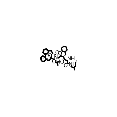 CC(C)CNC(=O)C(N)[C@@H](O)[C@H](CC1CCCCC1)C(=O)[C@H](CC(C)C)N(C(=O)C(N)Cc1ccccc1)C(=O)[C@@H]1Cc2ccccc2O1